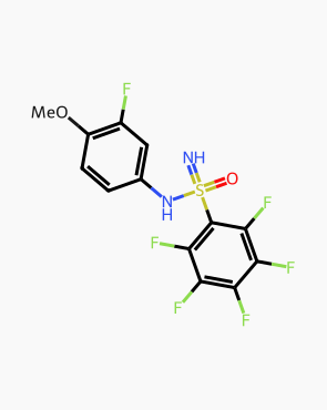 COc1ccc(NS(=N)(=O)c2c(F)c(F)c(F)c(F)c2F)cc1F